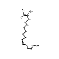 CCCCC/C=C\C/C=C\CCCCCCCC(CCC)N(CC)CC